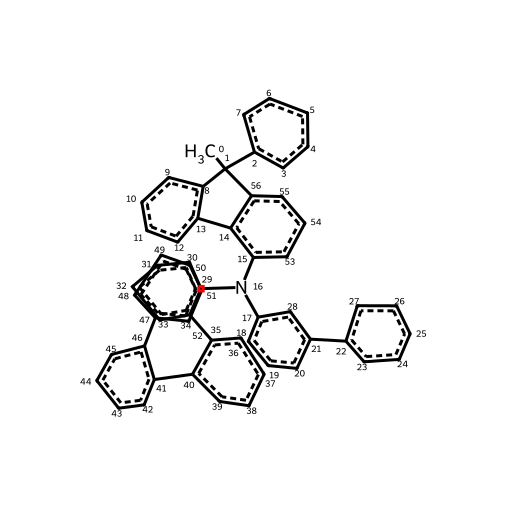 CC1(c2ccccc2)c2ccccc2-c2c(N(c3cccc(-c4ccccc4)c3)c3ccccc3-c3ccccc3-c3ccccc3-c3ccccc3)cccc21